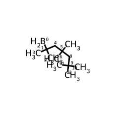 BC(C)(C)CC(C)(C)CC(C)(C)C